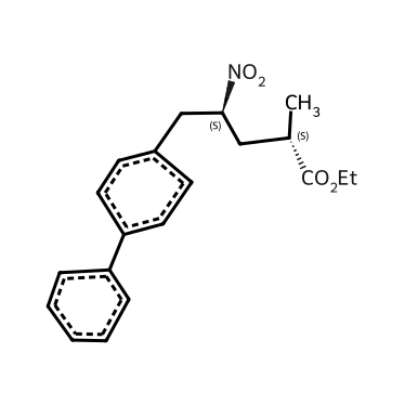 CCOC(=O)[C@@H](C)C[C@@H](Cc1ccc(-c2ccccc2)cc1)[N+](=O)[O-]